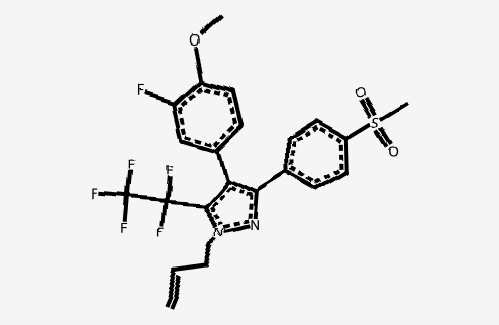 C=CCn1nc(-c2ccc(S(C)(=O)=O)cc2)c(-c2ccc(OC)c(F)c2)c1C(F)(F)C(F)(F)F